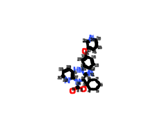 O=C1OC2(CCCCC2)[C@@H](c2nc3ccc(Oc4cccnc4)cc3[nH]2)N1c1ccccn1